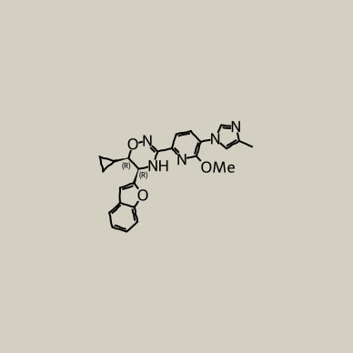 COc1nc(C2=NO[C@H](C3CC3)[C@H](c3cc4ccccc4o3)N2)ccc1-n1cnc(C)c1